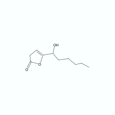 CCCCCC(O)C1=CCC(=O)O1